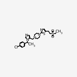 CCS(=O)(=O)CCc1cnc(N2CCN(Cc3cncn3C(C)c3ccc(Cl)cc3)CC2)s1